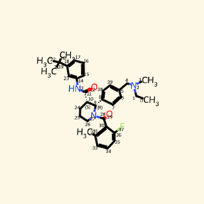 CCN(C)Cc1ccc([C@H]2[C@@H](C(=O)Nc3cccc(C(C)(C)C)c3)CCCN2C(=O)c2c(C)cccc2F)cc1